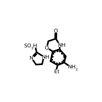 CCc1cc2c(cc1N)NC(=O)CO2.O=S(=O)(O)C1=NCCN1